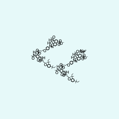 CCC(C)(C)c1ccc(OCCCC(=O)Nc2cc(OS(=O)(=O)CCCOc3ccc(N=Nc4ccc5c(S(=O)(=O)[O-])ccc(NC(C)=O)c5c4O)cc3)c(NC(C)=O)cc2O)c(C(C)(C)CC)c1.CCC(C)(C)c1ccc(OCCCC(=O)Nc2cc(OS(=O)(=O)CCCOc3ccc(N=Nc4ccc5c(S(=O)(=O)[O-])ccc(NC(C)=O)c5c4O)cc3)c(NC(C)=O)cc2O)c(C(C)(C)CC)c1.[Na+].[Na+]